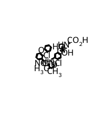 CC1(C)CON(Cc2ccccc2Cl)C1=O.Nc1c([N+](=O)[O-])ccc(Oc2ccccc2)c1Cl.O=C(O)CNCP(=O)(O)O